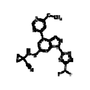 COc1cc(-c2cc(SNC3(C#N)CC3)cc3c2cnn3-c2nnc(C(F)F)s2)ncn1